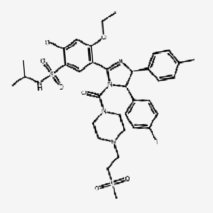 CCOc1cc(Cl)c(S(=O)(=O)NC(C)C)cc1C1=N[C@@H](c2ccc(C)cc2)[C@@H](c2ccc(I)cc2)N1C(=O)N1CCN(CCS(C)(=O)=O)CC1